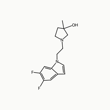 CC1(O)CCN(CCn2ccc3cc(F)c(F)cc32)C1